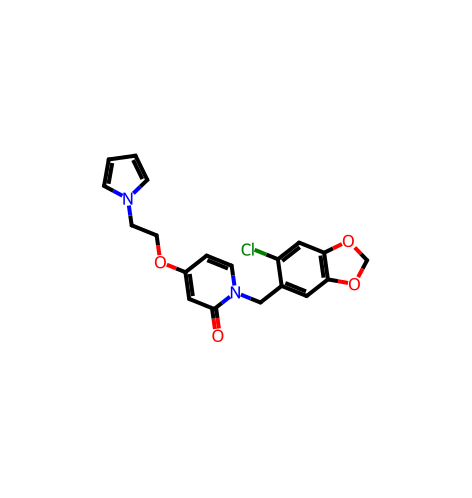 O=c1cc(OCCn2cccc2)ccn1Cc1cc2c(cc1Cl)OCO2